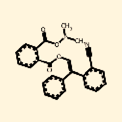 CP(C)OC(=O)c1ccccc1C(=O)O/C=C(\c1ccccc1)c1ccccc1C#N